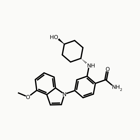 COc1cccc2c1ccn2-c1ccc(C(N)=O)c(N[C@H]2CC[C@H](O)CC2)c1